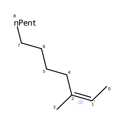 C/[C]=C(/C)CCCCCCCCC